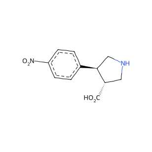 O=C(O)[C@H]1CNC[C@@H]1c1ccc([N+](=O)[O-])cc1